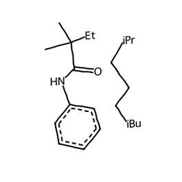 CCC(C)(C)C(=O)Nc1ccccc1.CCC(C)CCCC(C)C